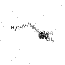 CCCCCCCC/C=C\CCCCCCCCNC(=O)NC1=NC(O)C=C(C)N1